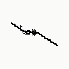 CCCCCCCCCCCCCCc1cnc(-c2ccc(OCCC(F)CCCCCC)c(F)c2)nc1